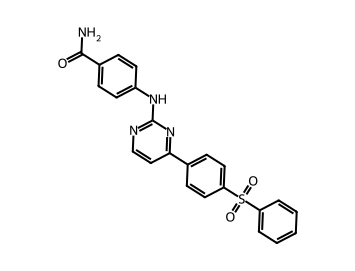 NC(=O)c1ccc(Nc2nccc(-c3ccc(S(=O)(=O)c4ccccc4)cc3)n2)cc1